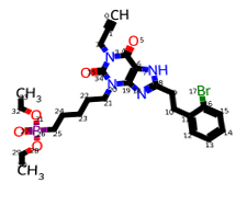 C#CCn1c(=O)c2[nH]c(CCc3ccccc3Br)nc2n(CCCCCP(=O)(OCC)OCC)c1=O